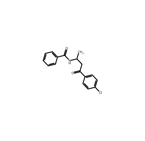 CC(CC(=O)c1ccc(Cl)cc1)NC(=O)c1ccccc1